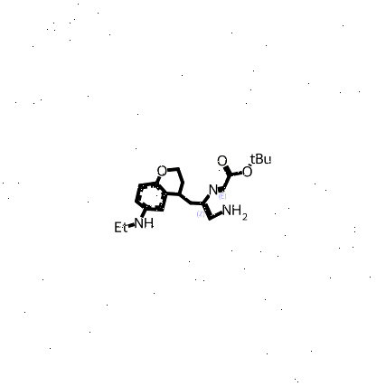 CCNc1ccc2c(c1)C(CC(=C/N)/N=C/C(=O)OC(C)(C)C)CCO2